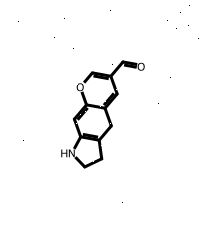 O=CC1=COC2=CC3=C(CCN3)CC2=C1